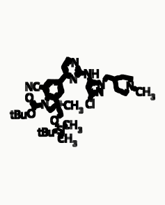 CN1CCC(Cn2nc(Cl)cc2Nc2nccc(-c3cc(C#N)c4c(c3)[C@@](C)(CO[Si](C)(C)C(C)(C)C)CN4C(=O)OC(C)(C)C)n2)CC1